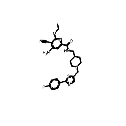 CCOc1nc(C(=O)NCC2CCN(Cc3cnc(-c4ccc(F)cc4)s3)CC2)cc(N)c1C#N